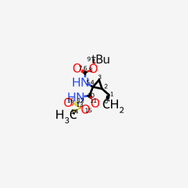 C=CC1CC1(NC(=O)OC(C)(C)C)C(=O)NS(C)(=O)=O